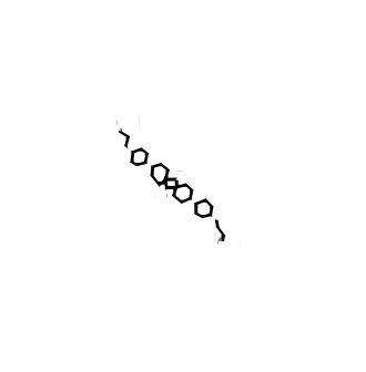 CCCC[C@H]1CC[C@H](C2CCC3(CC2)C(=O)C2(CCC([C@H]4CC[C@H](CCCC)CC4)CC2)C3F)CC1